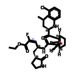 CCOC(=O)/C(F)=C\[C@H](C[C@H]1CCNC1=O)NC(=O)[C@H]1[C@@H]2CC[C@@H](CC2(F)F)N1C(=O)[C@@H](CC(C)C)Nc1cccc(Cl)c1